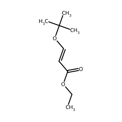 CCOC(=O)/C=C/OC(C)(C)C